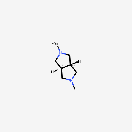 CN1C[C@H]2CN(C(C)(C)C)C[C@@H]2C1